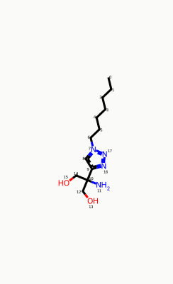 CCCCCCCn1cc(C(N)(CO)CO)nn1